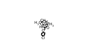 COC(=O)C(COc1ccc(Cl)cc1)NC(=O)OC(C)(C)C